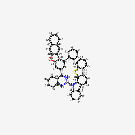 c1ccc(-c2cc(-c3nc(-n4c5ccccc5c5ccc6c7ccccc7sc6c54)nc4ccccc34)cc3oc4cc5ccccc5cc4c23)cc1